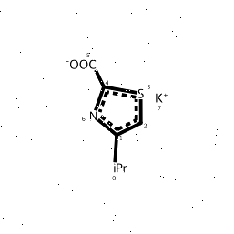 CC(C)c1csc(C(=O)[O-])n1.[K+]